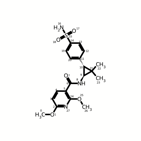 COc1ccc(C(=O)N[C@H]2[C@H](c3ccc(S(N)(=O)=O)cc3)C2(C)C)c(OC)n1